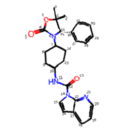 CC1(C)OC(=O)N(C2CCC(NC(=O)n3ccc4cccnc43)CC2)[C@H]1c1ccccc1